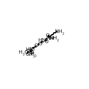 CC(C)(C)OC(=O)NOCCOCCOCCNC(=O)CNC(=O)[C@@H](N)CCCCN